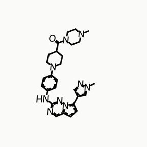 CN1CCN(C(=O)C2CCN(c3ccc(Nc4ncc5ccc(-c6cnn(C)c6)n5n4)cc3)CC2)CC1